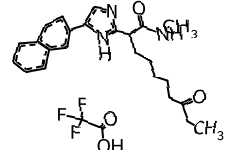 CCC(=O)CCCCCC(C(=O)NC)c1ncc(-c2ccc3ccccc3c2)[nH]1.O=C(O)C(F)(F)F